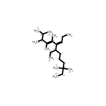 CC/C=C(\C(C)=C(/C)C(C)C(C)C)C(CC)CCCC(C)(C)CC